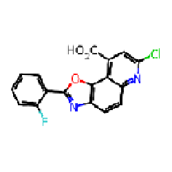 O=C(O)c1cc(Cl)nc2ccc3nc(-c4ccccc4F)oc3c12